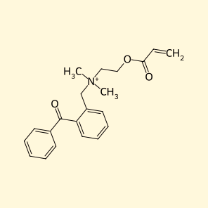 C=CC(=O)OCC[N+](C)(C)Cc1ccccc1C(=O)c1ccccc1